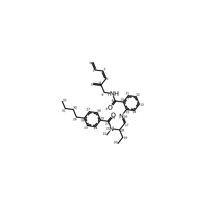 C=C/C=C\C(=C)CNC(=O)c1ccccc1/N=C/C(CC)N(C)C(=O)c1ccc(CCCC)cc1